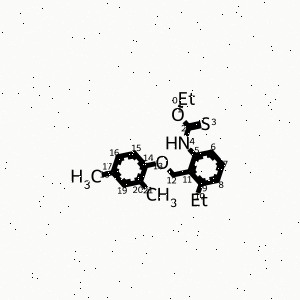 CCOC(=S)Nc1cccc(CC)c1COc1ccc(C)cc1C